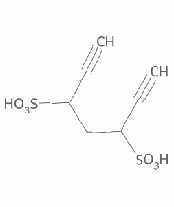 C#CC(CC(C#C)S(=O)(=O)O)S(=O)(=O)O